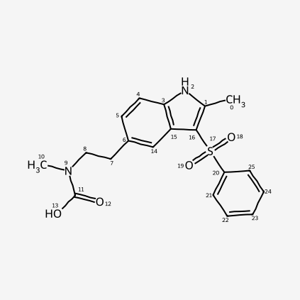 Cc1[nH]c2ccc(CCN(C)C(=O)O)cc2c1S(=O)(=O)c1ccccc1